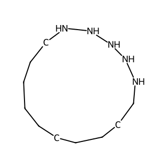 C1CCCCCNNNNNCCCC1